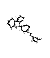 CCn1cc(CCc2ccc(Oc3ncccc3-c3cccnc3OC)cc2)cn1